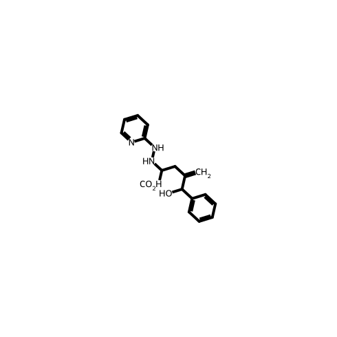 C=C(CC(NNc1ccccn1)C(=O)O)C(O)c1ccccc1